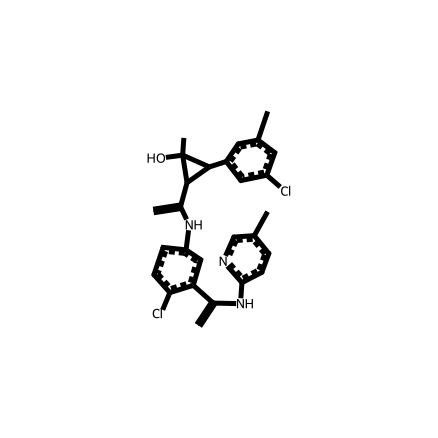 C=C(Nc1ccc(C)cn1)c1cc(NC(=C)C2C(c3cc(C)cc(Cl)c3)C2(C)O)ccc1Cl